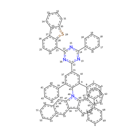 c1ccc(-c2cccc(-c3cc(-c4nc(-c5ccccc5)nc(-c5cccc6c5sc5ccccc56)n4)cc(-c4ccccc4)c3-n3c4cc5ccccc5cc4c4ccc5ccccc5c43)c2)cc1